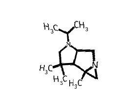 CC(C)N1CC(C)(C)C2C1CN1CC21C